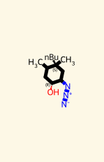 CCCC[C@@]1(C)CC(N=[N+]=[N-])[C@H](O)CC1C